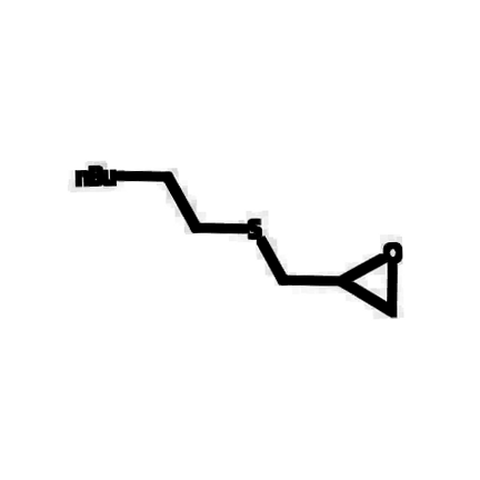 CCCCCCSCC1CO1